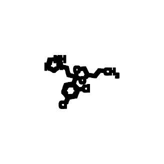 CCCC1COC(CCN2CN=CN2)(c2ccc(Cl)cc2Cl)O1